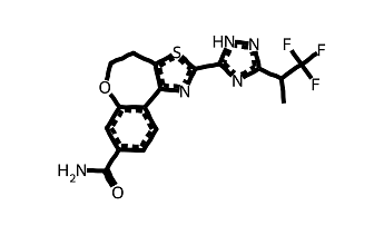 CC(c1n[nH]c(-c2nc3c(s2)CCOc2cc(C(N)=O)ccc2-3)n1)C(F)(F)F